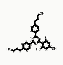 OCCCc1ccc(-c2nc(-c3ccc(CCCO)cc3)nc(-c3c(O)cc(O)cc3Br)n2)cc1